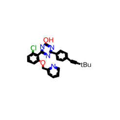 CC(C)(C)C#Cc1ccc(-c2nc(O)nc(-c3c(Cl)cccc3OCc3ccccn3)n2)cc1